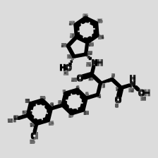 O=C(C[C@@H](Cc1ccc(-c2ccc(F)c(Cl)c2)cc1)C(=O)N[C@H]1c2ccccc2C[C@H]1O)NO